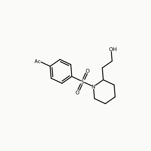 CC(=O)c1ccc(S(=O)(=O)N2CCCCC2CCO)cc1